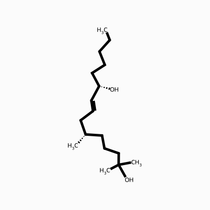 CCCCC[C@H](O)C=CC[C@@H](C)CCCC(C)(C)O